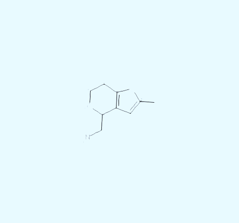 NCC1OCCc2sc(I)cc21